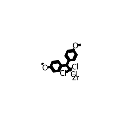 COc1ccc(C(c2ccc(OC)cc2)C(Cl)(Cl)Cl)cc1.[Zr]